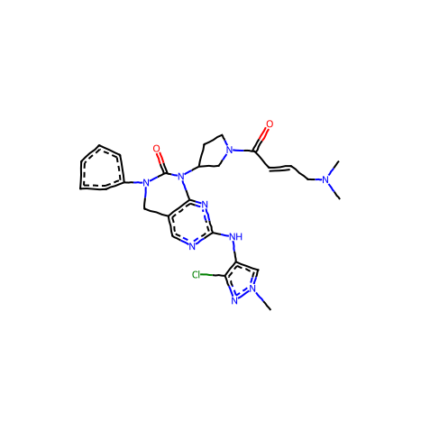 CN(C)CC=CC(=O)N1CCC(N2C(=O)N(c3ccccc3)Cc3cnc(Nc4cn(C)nc4Cl)nc32)C1